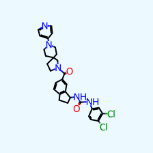 O=C(Nc1ccc(Cl)c(Cl)c1)NC1CCc2ccc(C(=O)N3CCC4(CCN(c5ccncc5)CC4)C3)cc21